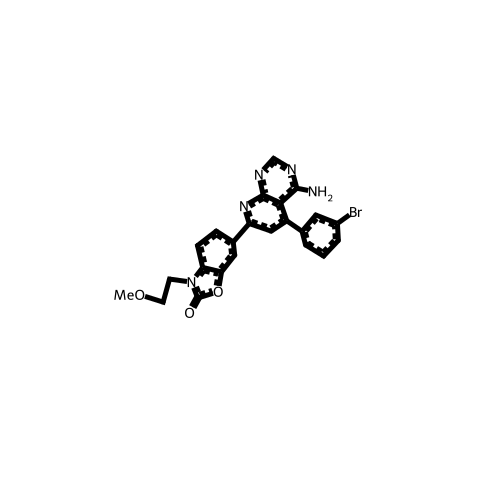 COCCn1c(=O)oc2cc(-c3cc(-c4cccc(Br)c4)c4c(N)ncnc4n3)ccc21